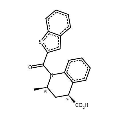 C[C@@H]1C[C@H](C(=O)O)c2ccccc2N1C(=O)c1cc2ccccc2s1